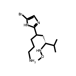 CON[C@H](CC(CCCN)c1ncc(Br)[nH]1)C(C)C